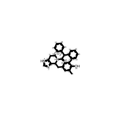 Cc1cc(CC2c3nc[nH]c3C[C@@H](C(=O)O)N2C(=O)C(c2ccccc2)c2ccccc2)cc(I)c1O